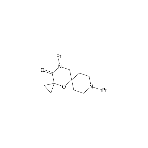 CCCN1CCC2(CC1)CN(CC)C(=O)C1(CC1)O2